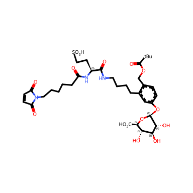 CC(C)(C)C(=O)OCc1ccc(O[C@@H]2O[C@H](C(=O)O)[C@@H](O)[C@H](O)[C@H]2O)cc1CCCCNC(=O)[C@H](CCS(=O)(=O)O)NC(=O)CCCCCN1C(=O)C=CC1=O